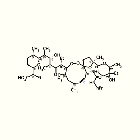 CCCNC(=O)N[C@@H]1/C=C\[C@H](C)C[C@H](C)[C@@H]([C@@H](CC)C(=O)[C@@H](C)[C@@H](O)[C@H](C)[C@@H]2O[C@@H]([C@@H](CC)C(=O)O)CC[C@@H]2C)OO[C@@]12CC[C@@](C)([C@H]1CC[C@](O)(CC)[C@H](C)O1)O2